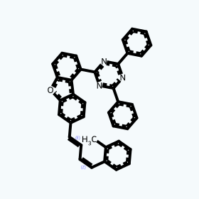 Cc1ccccc1/C=C\C=C\c1ccc2c(c1)oc1cccc(-c3nc(-c4ccccc4)nc(-c4ccccc4)n3)c12